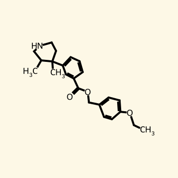 CCOc1ccc(COC(=O)c2cccc(C3(C)CCNCC3C)c2)cc1